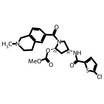 COC(=O)O[C@H]1C[C@@H](NC(=O)c2ccc(Cl)s2)CN1C(=O)c1ccc2c(c1)CCN(C)C2